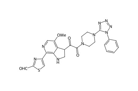 COc1cnc(-c2csc(C=O)n2)c2c1C(C(=O)C(=O)N1CCN(c3nnnn3-c3ccccc3)CC1)CN2